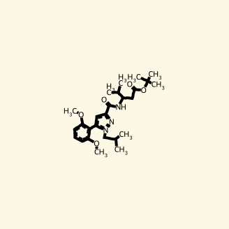 COc1cccc(OC)c1-c1cc(C(=O)NC(CC(=O)OC(C)(C)C)C(C)C)nn1CC(C)C